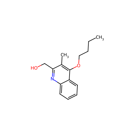 CCCCOc1c(C)c(CO)nc2ccccc12